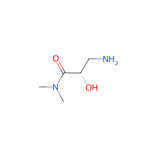 CN(C)C(=O)[C@@H](O)CN